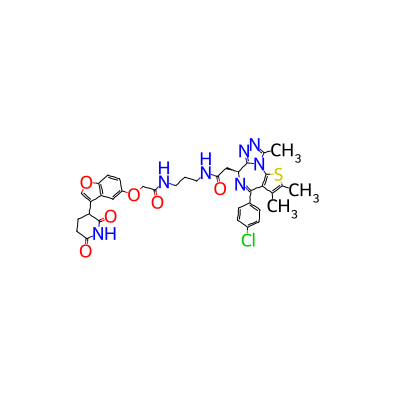 Cc1sc2c(c1C)C(c1ccc(Cl)cc1)=N[C@@H](CC(=O)NCCCNC(=O)COc1ccc3occ(C4CCC(=O)NC4=O)c3c1)c1nnc(C)n1-2